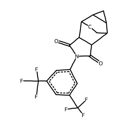 O=C1C2C3CCC(C4CC43)C2C(=O)N1c1cc(C(F)(F)F)cc(C(F)(F)F)c1